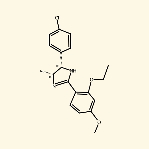 CCOc1cc(OC)ccc1C1=N[C@H](C)[C@H](c2ccc(Cl)cc2)N1